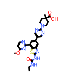 CCNC(=O)Nc1nc2cc(-c3cnc(N4CCC(C)(C(=O)O)CC4)nc3)cc(-c3nccc(OC)n3)c2s1